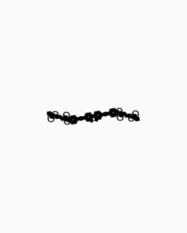 C=CC(=O)OCCCC(=O)Oc1ccc(C#Cc2ccc(-c3ccc(C#Cc4ccc(OC(=O)CCCOC(=O)C=C)cc4)cc3C)c(C)c2)cc1